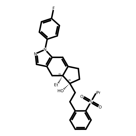 CC[C@]12Cc3cnn(-c4ccc(F)cc4)c3C=C1CC[C@@]2(O)CCc1ccccc1S(=O)(=O)C(C)C